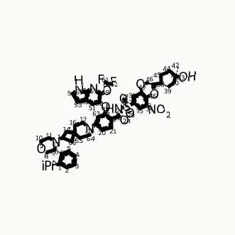 CC(C)c1ccccc1[C@@H]1COCCN1C1CC2(CCN(c3ccc(C(=O)NS(=O)(=O)c4cc5c(c([N+](=O)[O-])c4)O[C@H]([C@H]4CC[C@](C)(O)CC4)CO5)c(Oc4cc5cc[nH]c5nc4OC(F)F)c3)CC2)C1